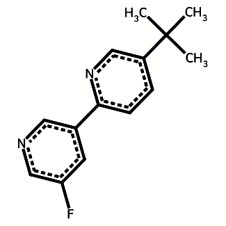 CC(C)(C)c1ccc(-c2cncc(F)c2)nc1